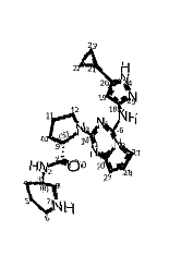 O=C(N[C@@H]1CCCNC1)[C@@H]1CCCN1c1nc(Nc2cc(C3CC3)[nH]n2)n2cccc2n1